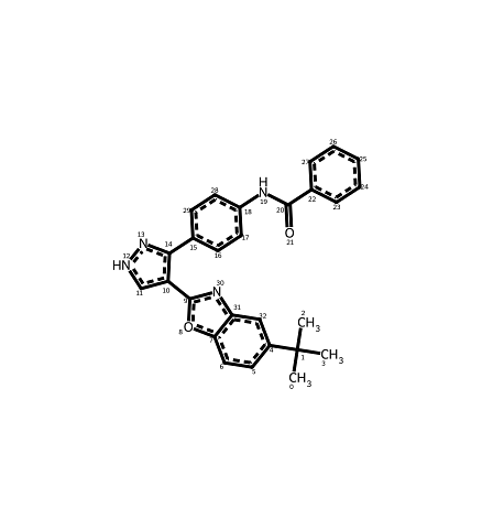 CC(C)(C)c1ccc2oc(-c3c[nH]nc3-c3ccc(NC(=O)c4ccccc4)cc3)nc2c1